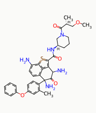 COC[C@@H](C)C(=O)N1CCC[C@@H](NC(=O)c2sc3c(N)ccc4c3c2C(N)C(=O)C4(N)c2ccc(Oc3ccccc3)cc2C)C1